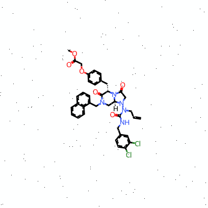 C=CCN(C(=O)NCc1ccc(Cl)c(Cl)c1)N1CC(=O)N2[C@@H](Cc3ccc(OCC(=O)OC)cc3)C(=O)N(Cc3cccc4ccccc34)C[C@@H]21